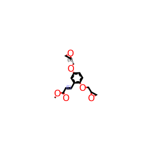 COC(=O)/C=C/c1cc(OC[C@@H]2CO2)ccc1OCC1CO1